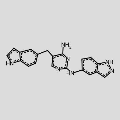 Nc1nc(Nc2ccc3[nH]ncc3c2)ncc1Cc1ccc2[nH]ccc2c1